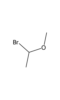 COC(C)Br